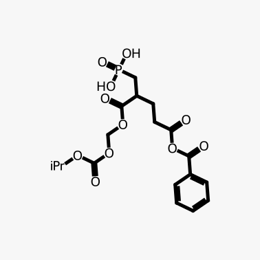 CC(C)OC(=O)OCOC(=O)C(CCC(=O)OC(=O)c1ccccc1)CP(=O)(O)O